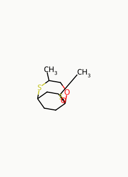 CC1COC23CCC(CC2SC(C)CO3)S1